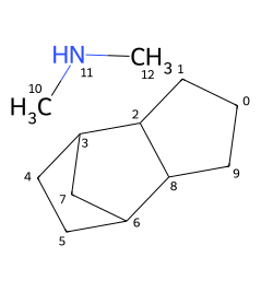 C1CC2C3CCC(C3)C2C1.CNC